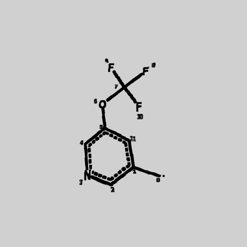 [CH2]c1cncc(OC(F)(F)F)c1